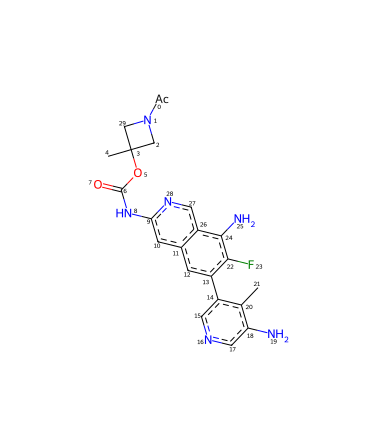 CC(=O)N1CC(C)(OC(=O)Nc2cc3cc(-c4cncc(N)c4C)c(F)c(N)c3cn2)C1